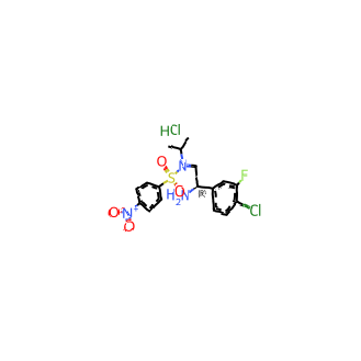 CC(C)N(C[C@H](N)c1ccc(Cl)c(F)c1)S(=O)(=O)c1ccc([N+](=O)[O-])cc1.Cl